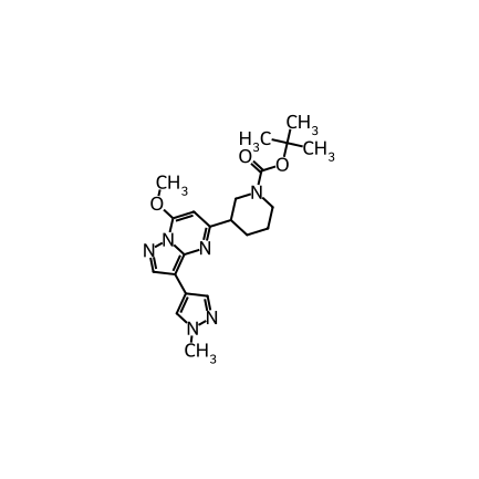 COc1cc(C2CCCN(C(=O)OC(C)(C)C)C2)nc2c(-c3cnn(C)c3)cnn12